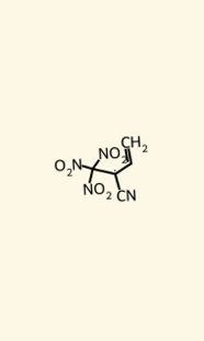 C=C[C](C#N)C([N+](=O)[O-])([N+](=O)[O-])[N+](=O)[O-]